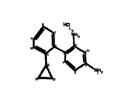 Cl.Nc1ccc(-c2ccccc2C2CC2)c(N)n1